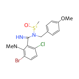 CNc1c(Br)ccc(Cl)c1C(=N)N(Cc1ccc(OC)cc1)[S+](C)[O-]